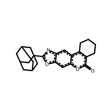 O=c1oc2cc3oc(C45CC6CC(CC(C6)C4)C5)nc3cc2c2c1CCCC2